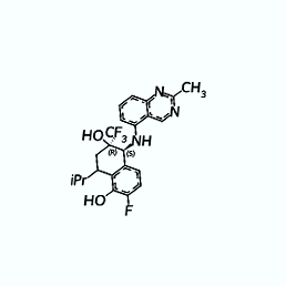 Cc1ncc2c(N[C@H]3c4ccc(F)c(O)c4C(C(C)C)C[C@]3(O)C(F)(F)F)cccc2n1